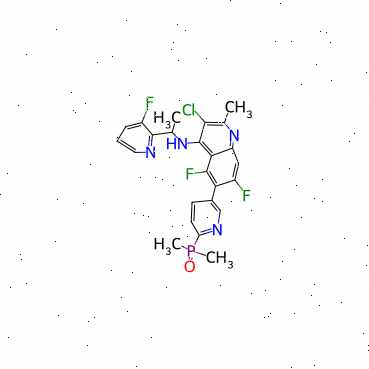 Cc1nc2cc(F)c(-c3ccc(P(C)(C)=O)nc3)c(F)c2c(NC(C)c2ncccc2F)c1Cl